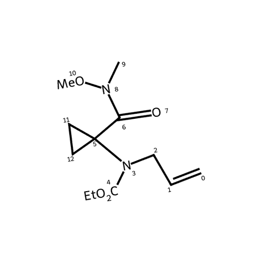 C=CCN(C(=O)OCC)C1(C(=O)N(C)OC)CC1